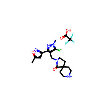 Cc1cc(-c2nn(C)c(Cl)c2CN2CCC3(CCNCC3)C2=O)no1.O=C(O)C(F)(F)F